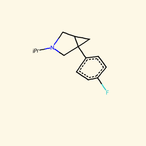 CC(C)N1CC2CC2(c2ccc(F)cc2)C1